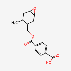 CC1CC2OC2CC1COC(=O)c1ccc(C(=O)O)cc1